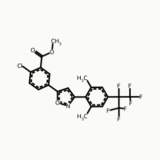 COC(=O)c1cc(-c2cc(-c3c(C)cc(C(F)(C(F)(F)F)C(F)(F)F)cc3C)no2)ccc1Cl